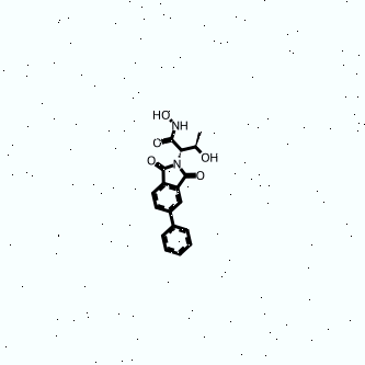 C[C@@H](O)[C@@H](C(=O)NO)N1C(=O)c2ccc(-c3ccccc3)cc2C1=O